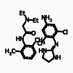 CCN(CC)CC(=O)Nc1c(C)cccc1C.Nc1cc(Cl)c(N=C2NCCN2)c(Cl)c1